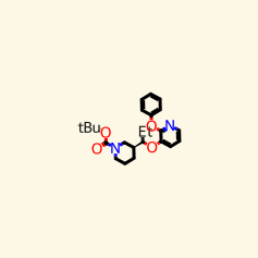 CCC(Oc1cccnc1Oc1ccccc1)[C@H]1CCCN(C(=O)OC(C)(C)C)C1